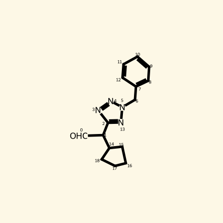 O=CC(c1nnn(Cc2ccccc2)n1)C1CCCC1